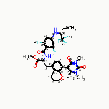 CC[C@@H](Nc1cc(F)c(C(=O)N[C@@H](Cc2ccc(-c3c(C)n(C)c(=O)n(C)c3=O)c3c2CCCO3)C(=O)OC)c(F)c1)C(F)(F)F